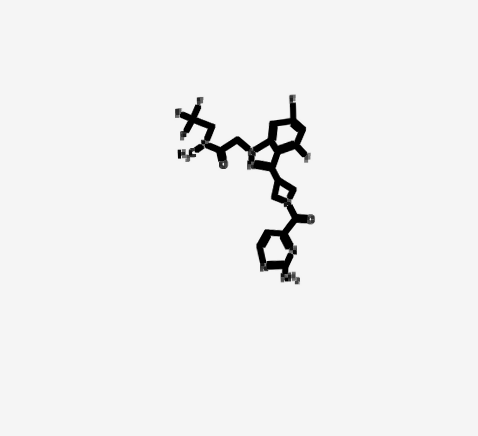 CN(CC(F)(F)F)C(=O)Cn1nc(C2CN(C(=O)c3ccnc(N)n3)C2)c2c(F)cc(F)cc21